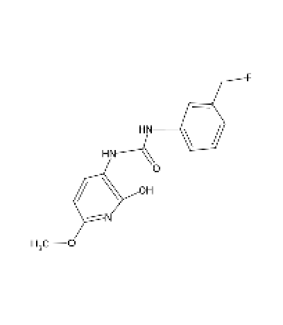 COc1ccc(NC(=O)Nc2cccc(CF)c2)c(O)n1